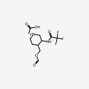 CC(=O)O.O=COCC1CCNCC1NC(=O)C(F)(F)F